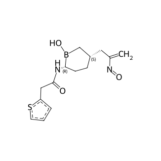 C=C(C[C@@H]1CC[C@H](NC(=O)Cc2cccs2)B(O)C1)N=O